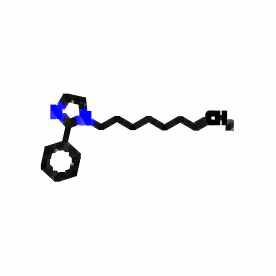 C=CCCCCCCn1ccnc1-c1ccccc1